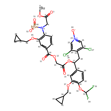 CC(C)(C)OC(=O)CN(c1ccc(C(=O)OCC(=O)OC(Cc2c(Cl)c[n+]([O-])cc2Cl)c2ccc(OC(F)F)c(OCC3CC3)c2)cc1OCC1CC1)[SH](=O)=O